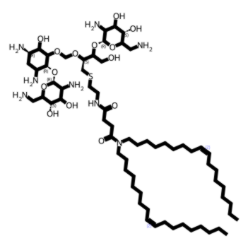 CCCCCCCC/C=C\CCCCCCCCN(CCCCCCCC/C=C\CCCCCCCC)C(=O)CCC(=O)NCCSC[C@@H](OCOC1C(O)[C@H](N)CC(N)[C@H]1O[C@H]1OC(CN)[C@@H](O)C(O)C1N)C(CO)O[C@H]1OC(CN)[C@@H](O)C(O)C1N